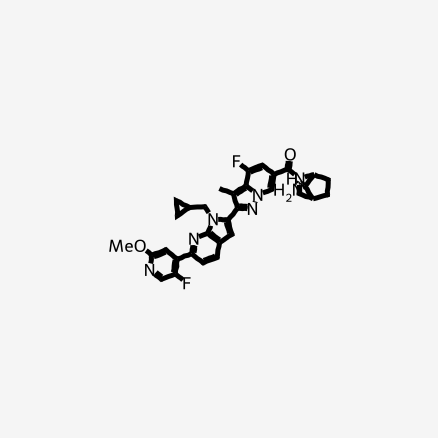 COc1cc(-c2ccc3cc(-c4nn5cc(C(=O)N6CC7CCC6[C@@H]7N)cc(F)c5c4C)n(CC4CC4)c3n2)c(F)cn1